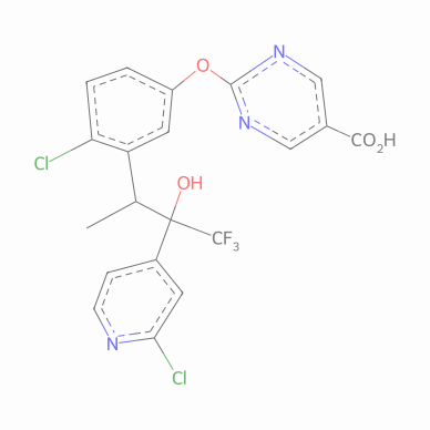 CC(c1cc(Oc2ncc(C(=O)O)cn2)ccc1Cl)C(O)(c1ccnc(Cl)c1)C(F)(F)F